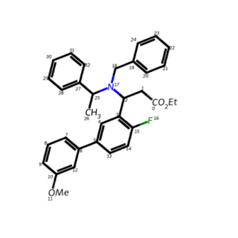 CCOC(=O)CC(c1cc(-c2cccc(OC)c2)ccc1F)N(Cc1ccccc1)C(C)c1ccccc1